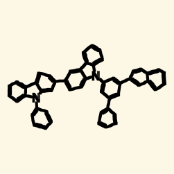 c1ccc(-c2cc(-c3ccc4ccccc4c3)cc(-n3c4ccccc4c4cc(-c5ccc6c7ccccc7n(-c7ccccc7)c6c5)ccc43)c2)cc1